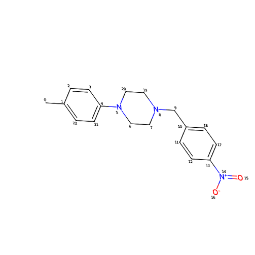 Cc1ccc(N2CCN(Cc3ccc([N+](=O)[O-])cc3)CC2)cc1